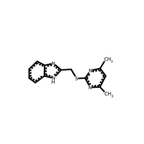 Cc1cc(C)nc(SCc2nc3ccccc3[nH]2)n1